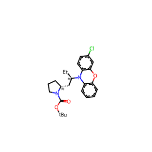 CC[C@H](C[C@H]1CCCN1C(=O)OC(C)(C)C)N1c2ccccc2Oc2cc(Cl)ccc21